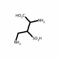 NCC(C(N)C(=O)O)S(=O)(=O)O